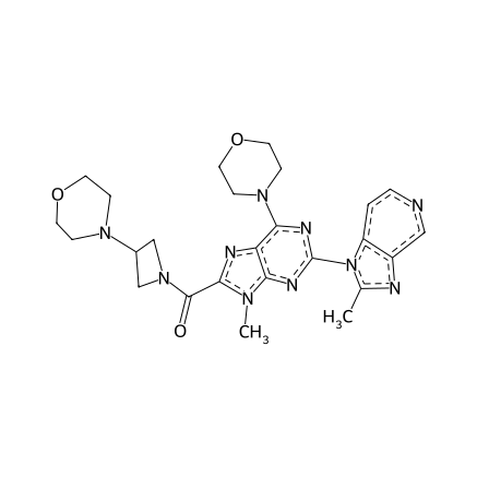 Cc1nc2cnccc2n1-c1nc(N2CCOCC2)c2nc(C(=O)N3CC(N4CCOCC4)C3)n(C)c2n1